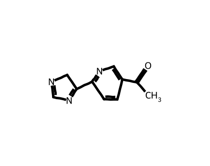 CC(=O)c1ccc(C2=NC=NC2)nc1